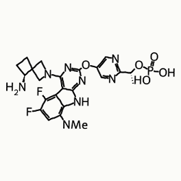 CNc1cc(F)c(F)c2c1[nH]c1nc(Oc3cnc([C@@H](C)OP(=O)(O)O)nc3)nc(N3CC4(CC[C@@H]4N)C3)c12